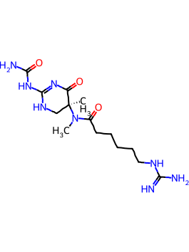 CN(C(=O)CCCCCNC(=N)N)[C@@]1(C)CNC(NC(N)=O)=NC1=O